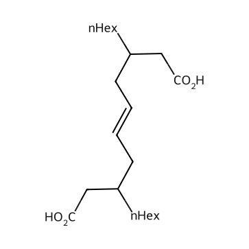 CCCCCCC(CC=CCC(CCCCCC)CC(=O)O)CC(=O)O